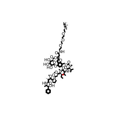 CCC(C)[C@@H]([C@@H](CC(=O)N1CCC[C@H]1[C@H](OC)[C@@H](C)C(=O)NC(C)C(O)c1ccccc1)OC)N(C)C(=O)[C@@H](NC(=O)[C@H](C(C)C)N(C)C(=O)OCc1ccc(O[C@@H]2O[C@H](C(=O)O)[C@@H](O)[C@H](O)[C@H]2O)c2cc(CCC(=O)NCCOCCOCCOCCN=[N+]=[N-])oc12)C(C)C